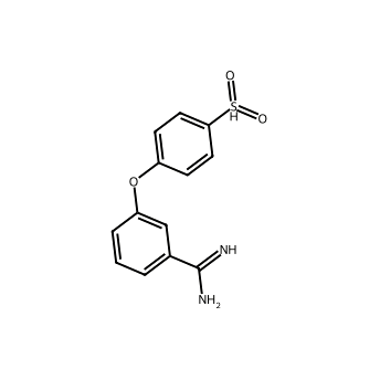 N=C(N)c1cccc(Oc2ccc([SH](=O)=O)cc2)c1